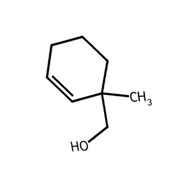 CC1(CO)C=CCCC1